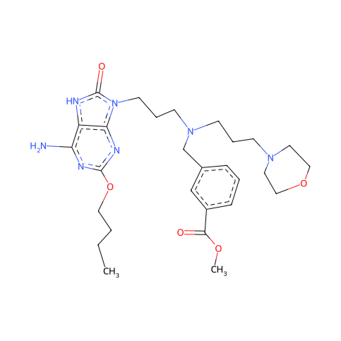 CCCCOc1nc(N)c2[nH]c(=O)n(CCCN(CCCN3CCOCC3)Cc3cccc(C(=O)OC)c3)c2n1